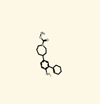 CC(C)(C)OC(=O)N1CCCC(c2ccc(N)c(C3=CCCCC3)c2)CC1